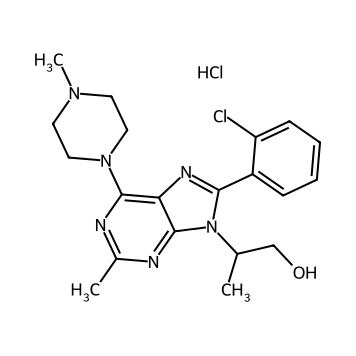 Cc1nc(N2CCN(C)CC2)c2nc(-c3ccccc3Cl)n(C(C)CO)c2n1.Cl